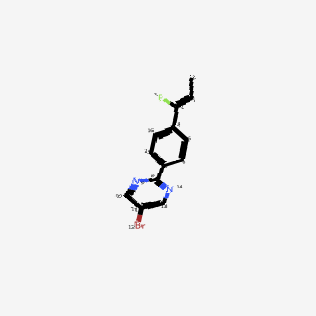 [CH2]/C=C(\F)c1ccc(-c2ncc(Br)cn2)cc1